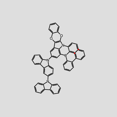 c1ccc(-c2ccccc2B2c3ccccc3-n3c4c(c5cc(-n6c7ccccc7c7cc(-n8c9ccccc9c9ccccc98)ccc76)cc2c53)Oc2ccccc2O4)cc1